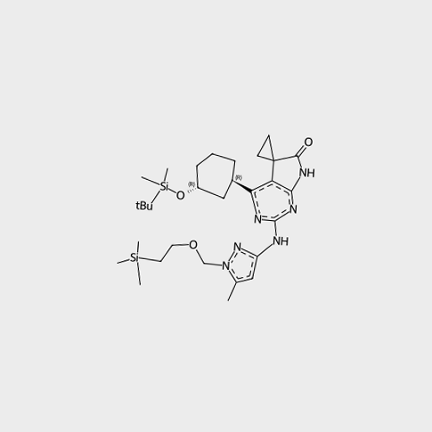 Cc1cc(Nc2nc3c(c([C@@H]4CCC[C@@H](O[Si](C)(C)C(C)(C)C)C4)n2)C2(CC2)C(=O)N3)nn1COCC[Si](C)(C)C